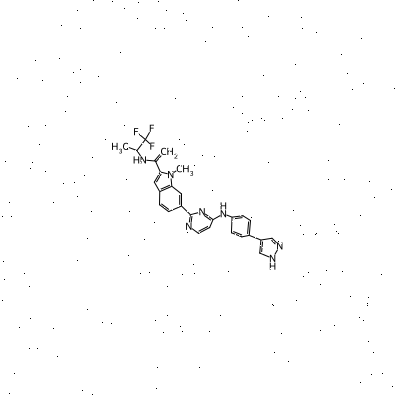 C=C(NC(C)C(F)(F)F)c1cc2ccc(-c3nccc(Nc4ccc(-c5cn[nH]c5)cc4)n3)cc2n1C